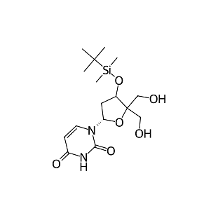 CC(C)(C)[Si](C)(C)OC1C[C@@H](n2ccc(=O)[nH]c2=O)OC1(CO)CO